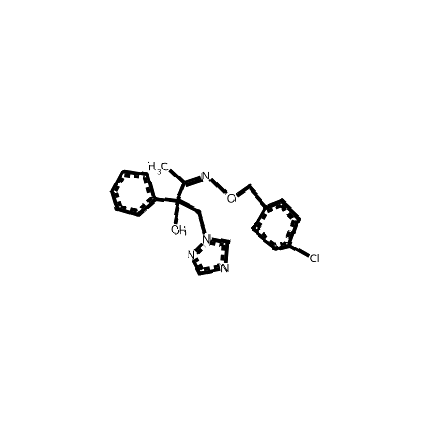 CC(=NOCc1ccc(Cl)cc1)C(O)(Cn1cncn1)c1ccccc1